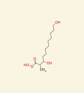 CC(C(=O)OO)C(O)CCCCCCCCCO